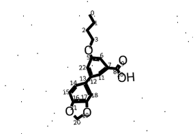 CCCCOc1cc(C(=O)O)cc(-c2ccc3c(c2)OCO3)c1